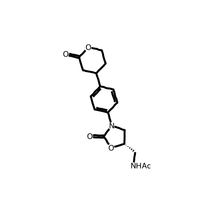 CC(=O)NC[C@H]1CN(c2ccc(C3CCOC(=O)C3)cc2)C(=O)O1